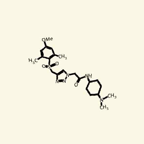 COc1cc(C)c(S(=O)(=O)Cc2cn(CC(=O)NC3CCC(N(C)C)CC3)nn2)c(C)c1